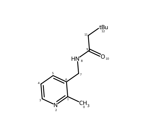 Cc1ncccc1CNC(=O)CC(C)(C)C